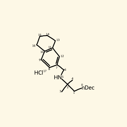 CCCCCCCCCCCC(C)(C)NCc1ccc2c(c1)CCCC2.Cl